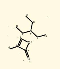 CC1=COC1=O.CCN(CC)CC